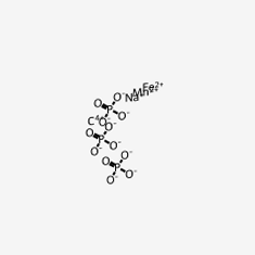 O=P([O-])([O-])[O-].O=P([O-])([O-])[O-].O=P([O-])([O-])[O-].[C+4].[Fe+2].[Mn+2].[Na+]